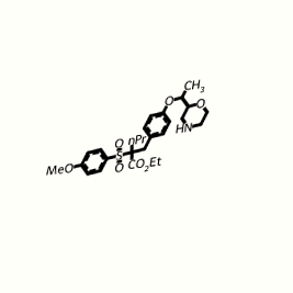 CCCC(Cc1ccc(OC(C)C2CNCCO2)cc1)(C(=O)OCC)S(=O)(=O)c1ccc(OC)cc1